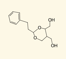 OCC1COC(CCc2ccccc2)OC1CO